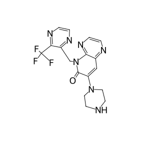 O=c1c(N2CCNCC2)cc2nccnc2n1Cc1nccnc1C(F)(F)F